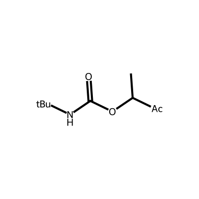 CC(=O)C(C)OC(=O)NC(C)(C)C